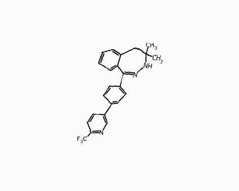 CC1(C)Cc2ccccc2C(c2ccc(-c3ccc(C(F)(F)F)nc3)cc2)=NN1